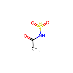 CC(=O)N[SH](=O)=O